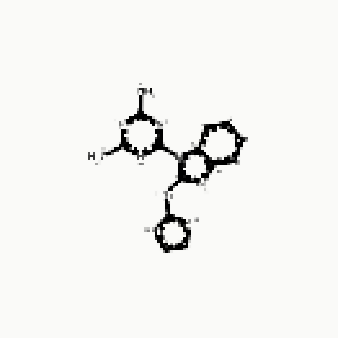 Cc1nc(N)nc(-n2c(Nc3nccs3)nc3ccccc32)n1